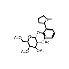 CC(=O)OC[C@H]1O[C@H](Oc2ncccc2C2CCCN2C)[C@H](OC(C)=O)[C@@H](OC(C)=O)[C@H]1OC(C)=O